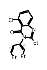 CC/C=C\C(=C/CC)n1c(CC)nc2cccc(Cl)c2c1=O